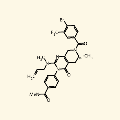 C=CCN(C)c1nc2c(c(=O)n1-c1ccc(C(=O)NC)cc1)C[C@@H](C)N(C(=O)c1ccc(Br)c(C(F)(F)F)c1)C2